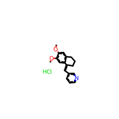 COc1cc2c(cc1OC)C(=Cc1cccnc1)CCC2.Cl